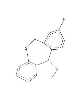 CC[C@H]1c2ccc(F)cc2CSc2ccccc21